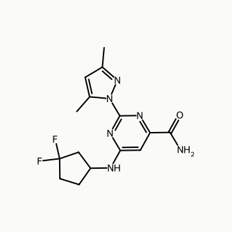 Cc1cc(C)n(-c2nc(NC3CCC(F)(F)C3)cc(C(N)=O)n2)n1